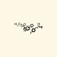 CCOC(=O)c1cnn2ccc(N3CCC[C@@H]3c3cc(F)ccc3CCNC3CC3)nc12